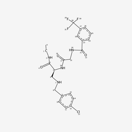 CCNC(=O)[C@H](CNCc1ccc(Cl)cc1)NC(=O)CNC(=O)c1cccc(C(F)(F)F)c1